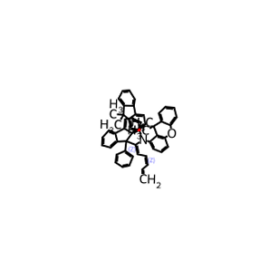 C=C/C=C\C=C(/N(c1ccc2c(c1)C(C)(C)c1ccccc1-2)c1cccc2c1C(C)(C)c1ccccc1O2)C1(c2ccccc2)c2ccccc2-c2ccccc21